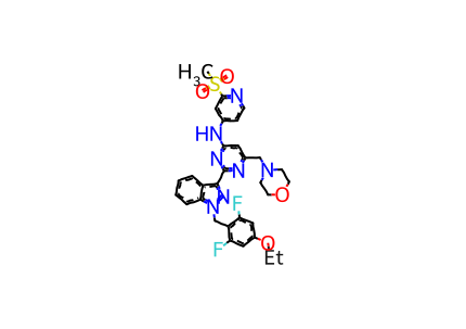 CCOc1cc(F)c(Cn2nc(-c3nc(CN4CCOCC4)cc(Nc4ccnc(S(C)(=O)=O)c4)n3)c3ccccc32)c(F)c1